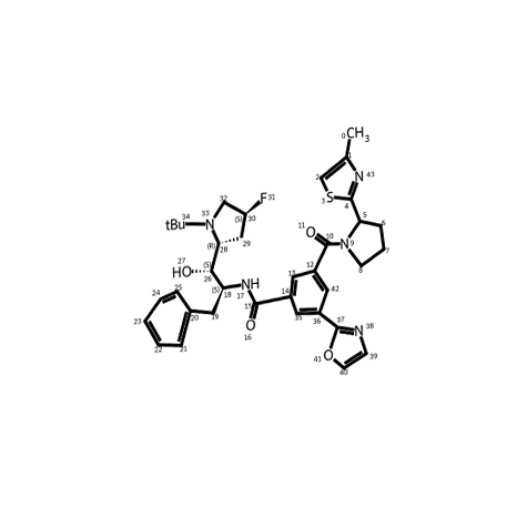 Cc1csc(C2CCCN2C(=O)c2cc(C(=O)N[C@@H](Cc3ccccc3)[C@H](O)[C@H]3C[C@H](F)CN3C(C)(C)C)cc(-c3ncco3)c2)n1